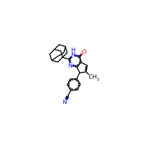 CC1=Cc2c(nc(C34CC5CC(CC(C5)C3)C4)[nH]c2=O)C1c1ccc(C#N)cc1